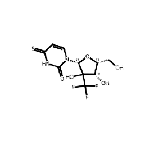 O=c1[nH]c(=S)ccn1[C@@H]1O[C@H](CO)[C@H](O)C1(O)C(F)(F)F